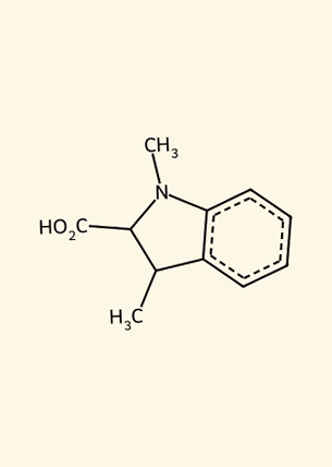 CC1c2ccccc2N(C)C1C(=O)O